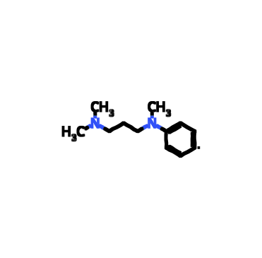 CN(C)CCCN(C)c1cc[c]cc1